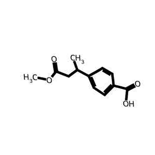 COC(=O)CC(C)c1ccc(C(=O)O)cc1